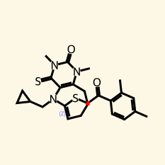 Cc1ccc(C(=O)CS/C2=C\CCCc3c(c(=S)n(C)c(=O)n3C)N2CC2CC2)c(C)c1